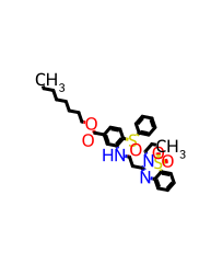 CCCCCCCCOC(=O)c1ccc(Sc2ccccc2)c(NC(=O)CC2=Nc3ccccc3S(=O)(=O)N2CCC)c1